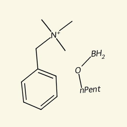 BOCCCCC.C[N+](C)(C)Cc1ccccc1